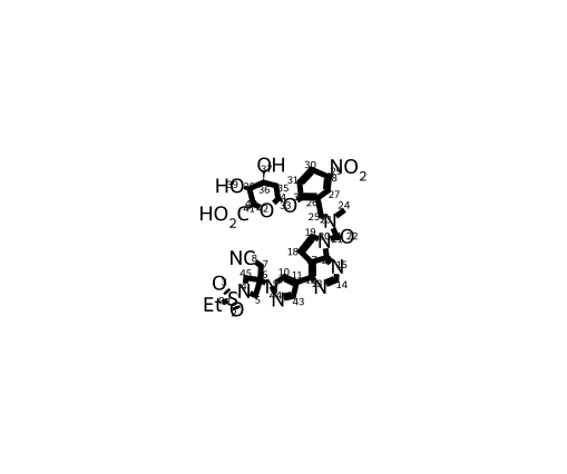 CCS(=O)(=O)N1CC(CC#N)(n2cc(-c3ncnc4c3ccn4C(=O)N(C)Cc3cc([N+](=O)[O-])ccc3O[C@H]3C[C@@H](O)[C@H](O)[C@@H](C(=O)O)O3)cn2)C1